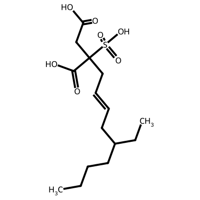 CCCCC(CC)CC=CCC(CC(=O)O)(C(=O)O)S(=O)(=O)O